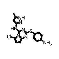 Cc1cc(Nc2nc(Sc3ccc(N)cc3)nc3ccc(Cl)n23)n[nH]1